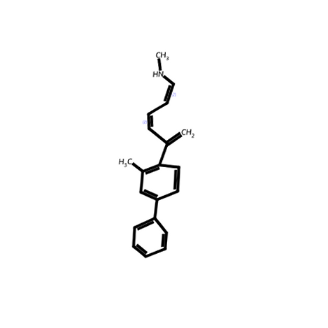 C=C(/C=C\C=C/NC)c1ccc(-c2ccccc2)cc1C